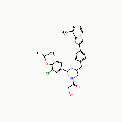 Cc1cccn2cc(-c3ccc(CC(CNC(=O)CO)NC(=O)c4ccc(OC(C)C)c(Cl)c4)cc3)nc12